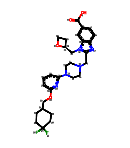 O=C(O)c1ccc2nc(CN3CCN(c4cccc(OCC5CCC(F)(F)CC5)n4)CC3)n(C[C@@H]3CCO3)c2c1